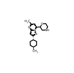 Cc1cc(C2CNCCO2)n2nc([C@H]3CC[C@H](C)CC3)cc2n1